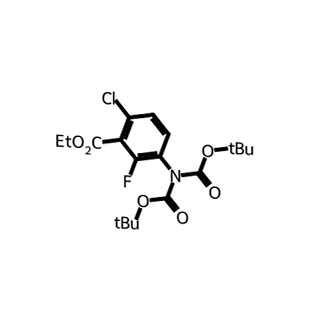 CCOC(=O)c1c(Cl)ccc(N(C(=O)OC(C)(C)C)C(=O)OC(C)(C)C)c1F